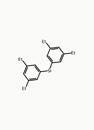 CCc1cc(CC)cc([Si]c2cc(CC)cc(CC)c2)c1